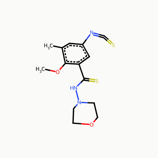 COc1c(C)cc(N=C=S)cc1C(=S)NN1CCOCC1